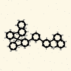 c1cc(-c2ccc3c(c2)-c2cccc4cccc(c24)S3)cc(-c2ccc3c(c2)C2(c4ccccc4-3)c3ccccc3-c3c2ccc2ccccc32)c1